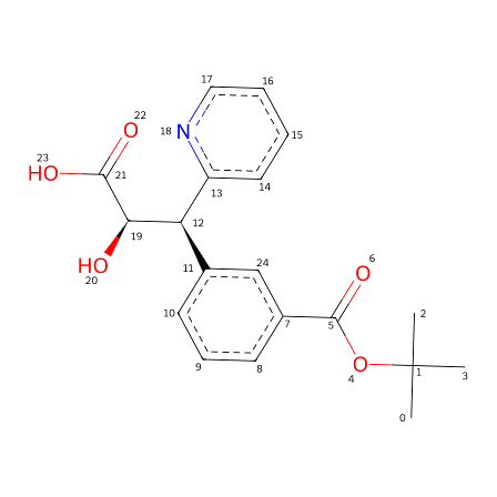 CC(C)(C)OC(=O)c1cccc([C@H](c2ccccn2)[C@@H](O)C(=O)O)c1